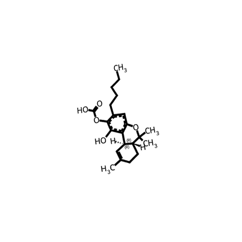 CCCCCc1cc2c(c(O)c1OC(=O)O)[C@@H]1C=C(C)CC[C@H]1C(C)(C)O2